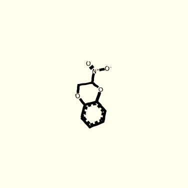 O=[N+]([O-])[C]1COc2ccccc2O1